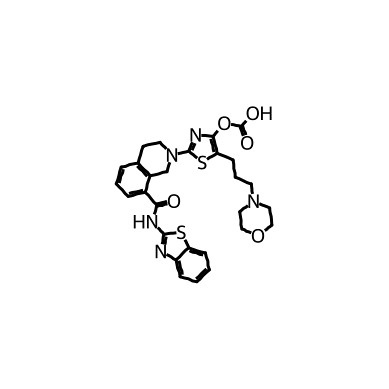 O=C(O)Oc1nc(N2CCc3cccc(C(=O)Nc4nc5ccccc5s4)c3C2)sc1CCCN1CCOCC1